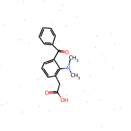 CN(C)c1c(CC(=O)O)cccc1C(=O)c1ccccc1